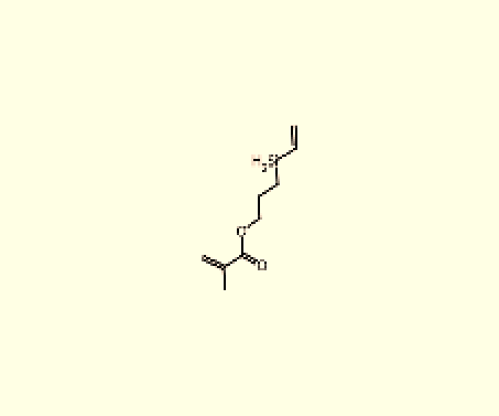 C=C[SiH2]CCCOC(=O)C(=C)C